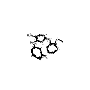 COc1ncccc1Nc1ncc(N)c(Nc2cccc(Cl)c2)n1